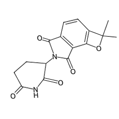 CC1(C)Oc2c1ccc1c2C(=O)N(C2CCC(=O)NC2=O)C1=O